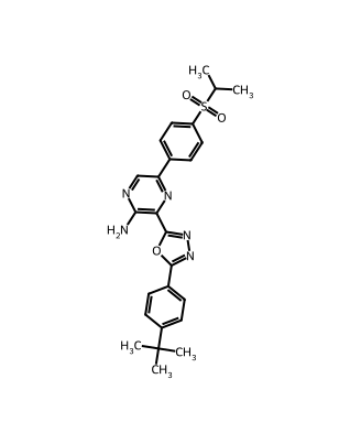 CC(C)S(=O)(=O)c1ccc(-c2cnc(N)c(-c3nnc(-c4ccc(C(C)(C)C)cc4)o3)n2)cc1